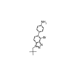 CC(C)(C)Cn1nnc2c(Br)c(-c3ccc(N)cc3)ccc21